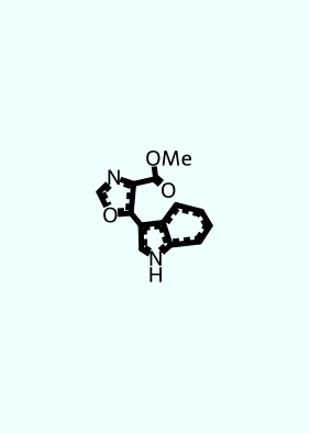 COC(=O)c1ncoc1-c1c[nH]c2ccccc12